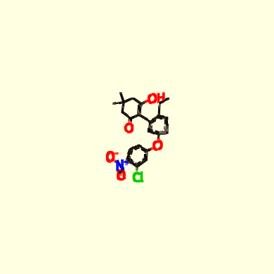 CCc1ccc(Oc2ccc([N+](=O)[O-])c(Cl)c2)cc1C1=C(O)CC(C)(C)CC1=O